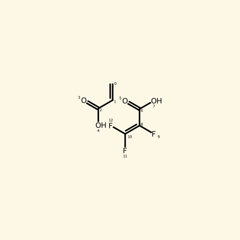 C=CC(=O)O.O=C(O)C(F)=C(F)F